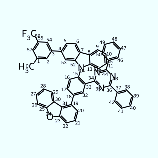 Cc1cc(-c2ccc3c4ccccc4n(-c4ccc(-c5cccc6oc7ccccc7c56)cc4-c4nc(-c5ccccc5)nc(-c5ccccc5)n4)c3c2)cc(C(F)(F)F)c1